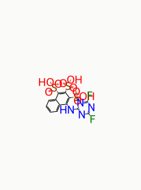 O=S(=O)(O)c1c(S(=O)(=O)O)c(S(=O)(=O)O)c2ccccc2c1Nc1nc(F)nc(F)n1